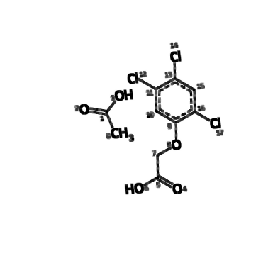 CC(=O)O.O=C(O)COc1cc(Cl)c(Cl)cc1Cl